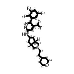 Fc1cc(F)c(F)c(-c2nnc(NC3C[C@@H]4CN(CCC5CCOCC5)C[C@@H]4C3)cc2C(F)F)c1